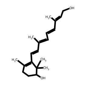 CC1=C(/C=C/C(C)=C/C=C/C(C)=C/CO)C(C)(C)C(O)CC1